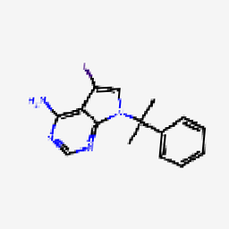 CC(C)(c1ccccc1)n1cc(I)c2c(N)ncnc21